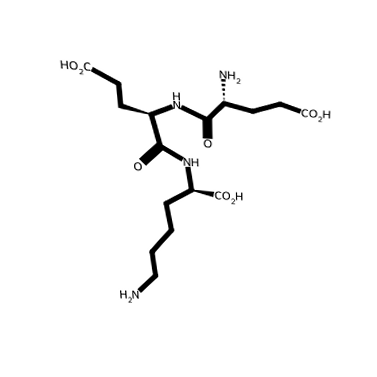 NCCCC[C@@H](NC(=O)[C@@H](CCC(=O)O)NC(=O)[C@H](N)CCC(=O)O)C(=O)O